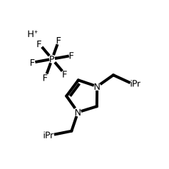 CC(C)CN1C=CN(CC(C)C)C1.F[P-](F)(F)(F)(F)F.[H+]